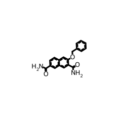 NC(=O)c1ccc2cc(OCc3ccccc3)c(C(N)=O)cc2c1